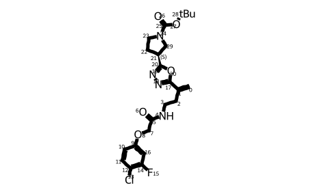 C=C(CCNC(=O)COc1ccc(Cl)c(F)c1)c1nnc([C@H]2CCN(C(=O)OC(C)(C)C)C2)o1